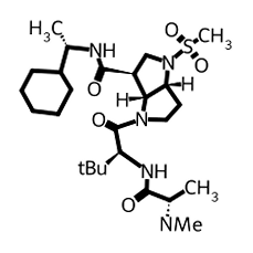 CN[C@@H](C)C(=O)N[C@H](C(=O)N1CC[C@@H]2[C@H]1[C@@H](C(=O)N[C@@H](C)C1CCCCC1)CN2S(C)(=O)=O)C(C)(C)C